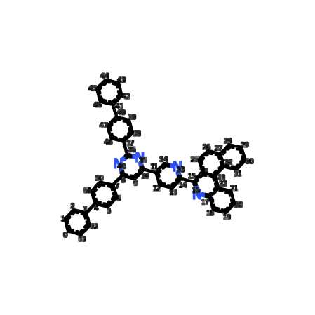 c1ccc(-c2ccc(-c3cc(-c4ccc(-c5nc6ccccc6c6c5ccc5ccccc56)nc4)nc(-c4ccc(-c5ccccc5)cc4)n3)cc2)cc1